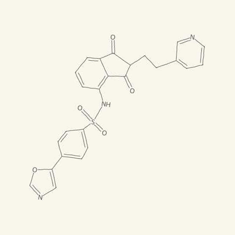 O=C1c2cccc(NS(=O)(=O)c3ccc(-c4cnco4)cc3)c2C(=O)C1CCc1cccnc1